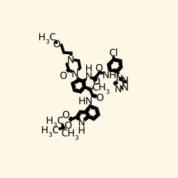 COCCCN1CCN(c2cccc([C@H](C)C(=O)Nc3cccc4[nH]c(C(=O)OC(C)(C)C)cc34)c2NC(=O)C(=O)Nc2cc(Cl)ccc2-n2cnnn2)C(=O)C1